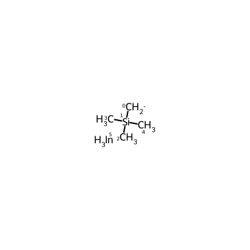 [CH2][Si](C)(C)C.[InH3]